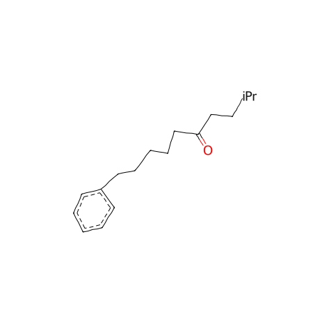 CC(C)CCC(=O)CCCCCc1ccccc1